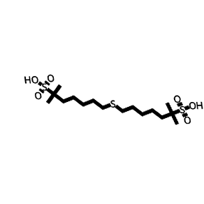 CC(C)(CCCCCSCCCCCC(C)(C)S(=O)(=O)O)S(=O)(=O)O